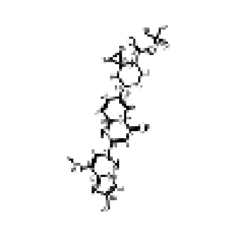 COc1cc(-c2cc(=O)n3cc([C@@H]4CCN(C(=O)OC(C)(C)C)C5(CC5)C4)ccc3n2)nn2cc(C)nc12